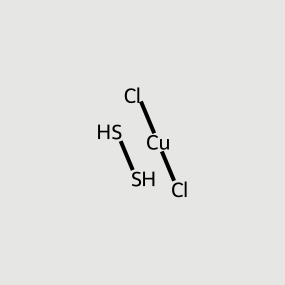 SS.[Cl][Cu][Cl]